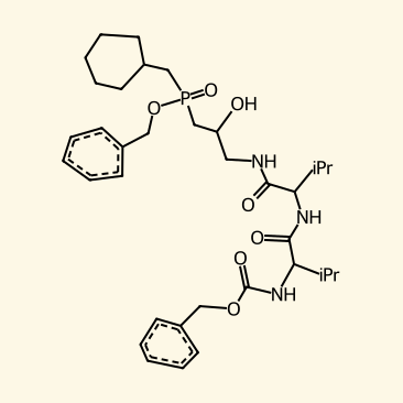 CC(C)C(NC(=O)OCc1ccccc1)C(=O)NC(C(=O)NCC(O)CP(=O)(CC1CCCCC1)OCc1ccccc1)C(C)C